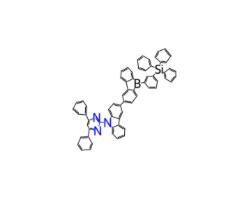 c1ccc(-c2cc(-c3ccccc3)nc(-n3c4ccccc4c4cc(-c5ccc6c(c5)-c5ccccc5B6c5cccc([Si](c6ccccc6)(c6ccccc6)c6ccccc6)c5)ccc43)n2)cc1